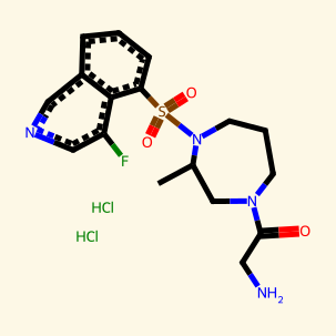 CC1CN(C(=O)CN)CCCN1S(=O)(=O)c1cccc2cncc(F)c12.Cl.Cl